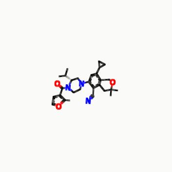 Cc1occc1C(=O)N1CCN(c2cc(C3CC3)c3c(c2C#N)CC(C)(C)OC3)C[C@H]1C(C)C